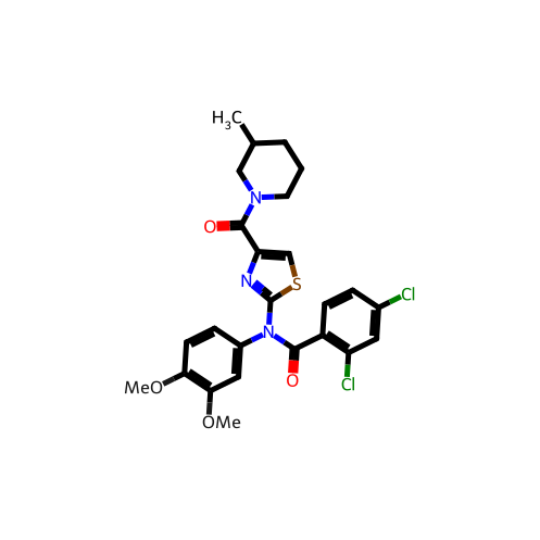 COc1ccc(N(C(=O)c2ccc(Cl)cc2Cl)c2nc(C(=O)N3CCCC(C)C3)cs2)cc1OC